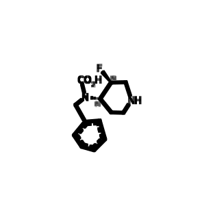 O=C(O)N(Cc1ccccc1)[C@H]1CCNC[C@@H]1F